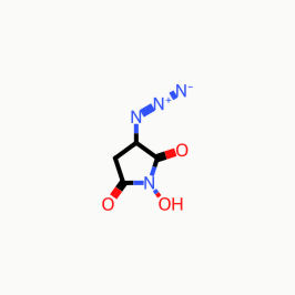 [N-]=[N+]=NC1CC(=O)N(O)C1=O